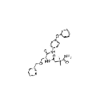 CC(C)(CC(=O)NC(COCc1ccccc1)C(=O)Nc1ccc(Oc2ccccc2)cc1)C(N)=O